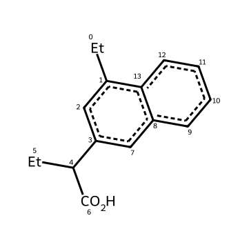 CCc1cc(C(CC)C(=O)O)cc2ccccc12